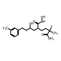 CC(F)(CCC(CC(O)[CH]Cc1cccc(C(F)(F)F)c1)C(=O)NO)C(N)=O